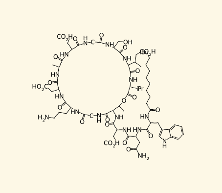 CCC(C)CCCCCCCCC(=O)NC(Cc1c[nH]c2ccccc12)C(=O)NC(CC(N)=O)C(=O)NC(CC(=O)O)C(=O)NC1C(=O)NCC(=O)NC(CCCN)C(=O)NC(CC(=O)O)C(=O)NC(C)C(=O)NC(CC(=O)O)C(=O)NCC(=O)NC(CO)C(=O)NC(C(C)CC(=O)O)C(=O)NC(C(C)C)C(=O)OC1C